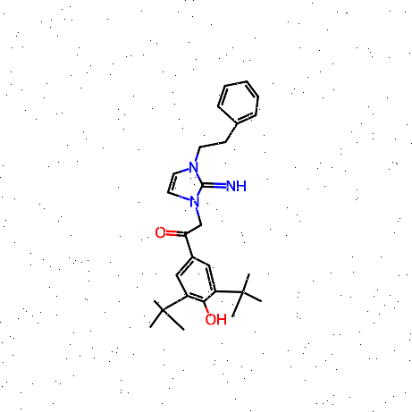 CC(C)(C)c1cc(C(=O)Cn2ccn(CCc3ccccc3)c2=N)cc(C(C)(C)C)c1O